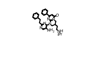 CC(C)NCCC1CN(c2nc(CCc3ccccc3)ncc2N)c2nc(-c3ccccc3)cc(=O)n2C1